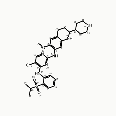 COc1cc2c(cc1Nc1ncc(Cl)c(Nc3ccccc3S(=O)(=O)C(C)C)n1)NC(C1CCNCC1)CC2